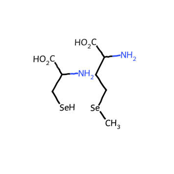 C[Se]CCC(N)C(=O)O.NC(C[SeH])C(=O)O